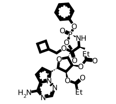 CCC(=O)O[C@@H]1[C@H](OC(=O)CC)[C@@H](CO[P@](=O)(N[C@@H](C)C(=O)OCC2CCC2)Oc2ccccc2)O[C@H]1c1ccc2c(N)ncnn12